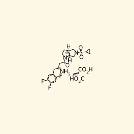 N[C@@H](CC(=O)N1CC[C@H]2CN(S(=O)(=O)C3CC3)C[C@H]21)Cc1cc(F)c(F)cc1F.O=C(O)/C=C/C(=O)O